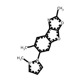 Cc1nc2c(o1)oc1cc(-n3ccc[n+]3C)c(C)cc12